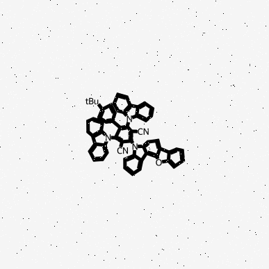 CC(C)(C)c1ccc(-c2c(-n3c4c(c5ccccc53)CCC=C4)c(C#N)c(-n3c4ccccc4c4c5oc6ccccc6c5ccc43)c(C#N)c2-n2c3c(c4ccccc42)C=CCC3)cc1